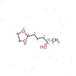 C[C@H](O)CCCC1OCCO1